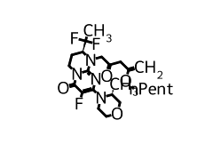 C=C(CC(=O)CN1c2nc(N3CCOC[C@H]3C)c(F)c(=O)n2CC[C@H]1C(C)(F)F)OCCCCC